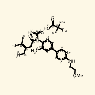 COCCNc1ncc(-c2cnc(-n3c(CC(CN)=C(F)F)n[nH]c3=O)c(C)c2)cn1.O=C(O)C(F)(F)F